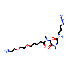 CN(CC(=O)NCCCN=[N+]=[N-])C(=O)CN(C)C(=O)CCCCOCCOCCN